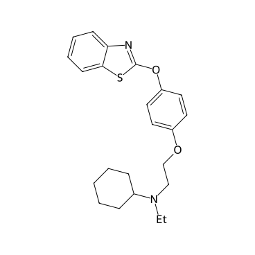 CCN(CCOc1ccc(Oc2nc3ccccc3s2)cc1)C1CCCCC1